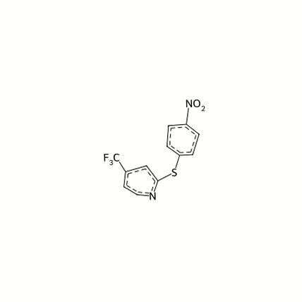 O=[N+]([O-])c1ccc(Sc2cc(C(F)(F)F)ccn2)cc1